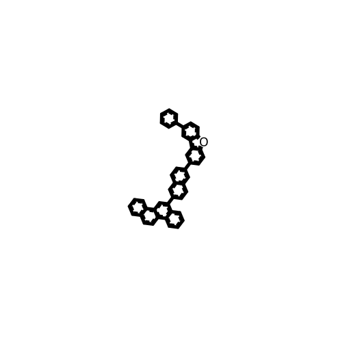 c1ccc(-c2ccc3oc4ccc(-c5ccc6cc(-c7cc8c9ccccc9ccc8c8ccccc78)ccc6c5)cc4c3c2)cc1